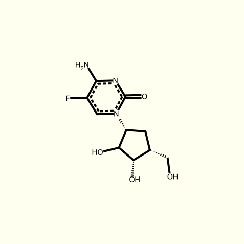 Nc1nc(=O)n([C@@H]2C[C@H](CO)[C@H](O)C2O)cc1F